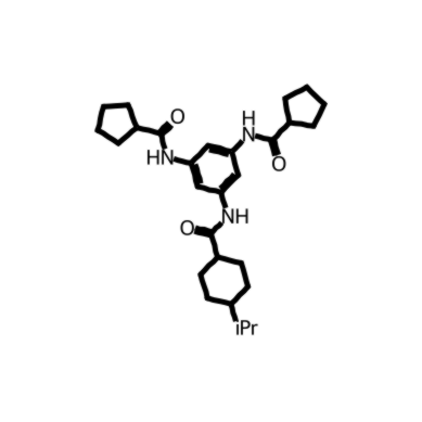 CC(C)C1CCC(C(=O)Nc2cc(NC(=O)C3CCCC3)cc(NC(=O)C3CCCC3)c2)CC1